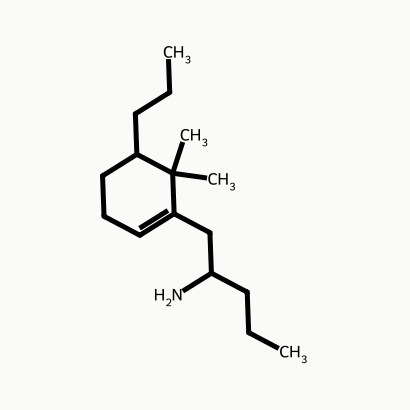 CCCC(N)CC1=CCCC(CCC)C1(C)C